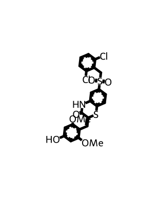 COc1cc(O)cc(OC)c1/C=C1/Sc2ccc(S(=O)(=O)Cc3c(Cl)cccc3Cl)cc2NC1=O